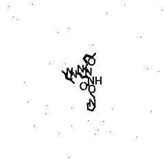 Cc1cc(C)n(-c2cc(NC(=O)OCCN3CCCC3)nc(-c3ccc(C)o3)n2)n1